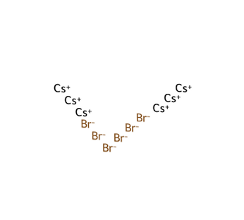 [Br-].[Br-].[Br-].[Br-].[Br-].[Br-].[Cs+].[Cs+].[Cs+].[Cs+].[Cs+].[Cs+]